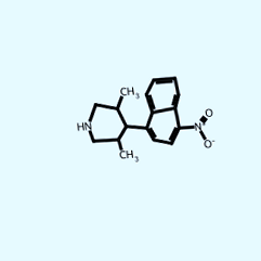 CC1CNCC(C)C1c1ccc([N+](=O)[O-])c2ccccc12